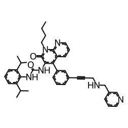 CCCCn1c(=O)c(NC(=O)Nc2c(C(C)C)cccc2C(C)C)c(-c2cccc(C#CCNCc3cccnc3)c2)c2cccnc21